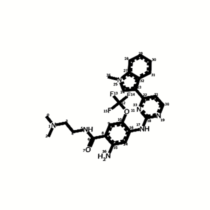 CN(C)CCNC(=O)c1cc(OC(F)(F)F)c(Nc2nccc(-c3cn(C)c4ccccc34)n2)cc1N